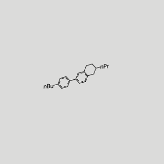 CCCCc1ccc(-c2ccc3c(c2)CCC(CCC)C3)cc1